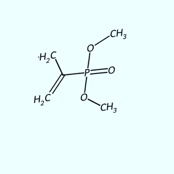 [CH2]C(=C)P(=O)(OC)OC